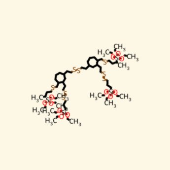 CCO[Si](CCCSSCCC1CC(CCSSCCC2CCCC(CSCCC(C)[Si](OCC)(OCC)OCC)C(CCSSCCC[Si](OCC)(OCC)OCC)C2)CCCC1CSCCC(C)[Si](OCC)(OCC)OCC)(OCC)OCC